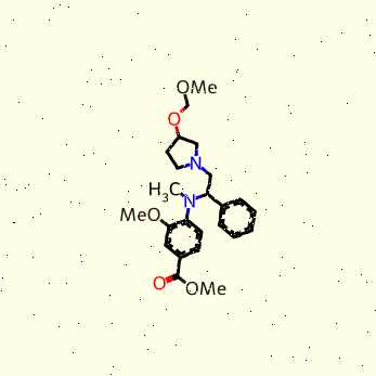 COCOC1CCN(CC(c2ccccc2)N(C)c2ccc(C(=O)OC)cc2OC)C1